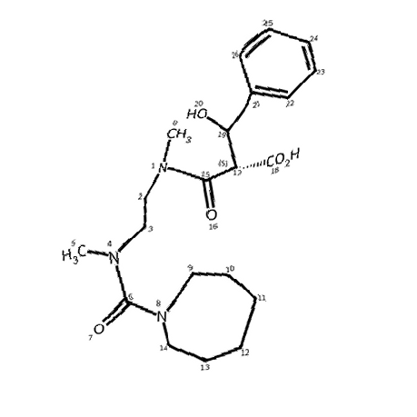 CN(CCN(C)C(=O)N1CCCCCC1)C(=O)[C@@H](C(=O)O)C(O)c1ccccc1